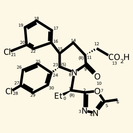 CC[C@H](c1nnc(C)o1)N1C(=O)[C@@H](CC(=O)O)CC(c2cccc(Cl)c2)[C@H]1c1ccc(Cl)cc1